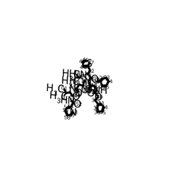 CC[C@H](C)[C@H](NC(=O)C[C@H](O)[C@H](CC(C)C)N(C(=O)[C@H](Cc1ccccc1)NC(=O)OCc1ccccc1)C(=O)[C@@H](N)Cc1cccs1)C(=O)NC(=O)c1ccccn1